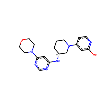 Oc1cc(N2CCC[C@@H](Nc3cc(N4CCOCC4)ncn3)C2)ccn1